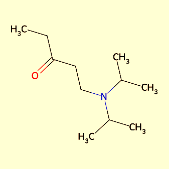 CCC(=O)CCN(C(C)C)C(C)C